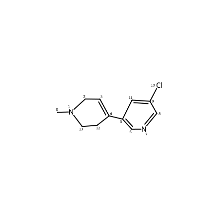 CN1CC=C(c2cncc(Cl)c2)CC1